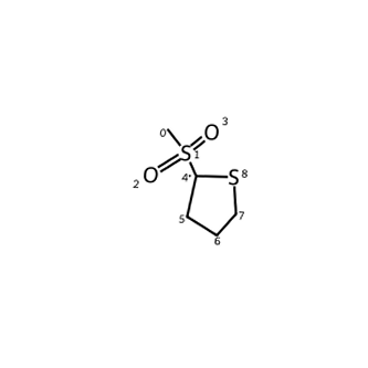 CS(=O)(=O)[C]1CCCS1